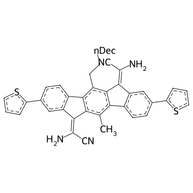 CCCCCCCCCCCCc1c2c(c(C)c3c1-c1ccc(-c4cccs4)cc1/C3=C(\N)C#N)-c1ccc(-c3cccs3)cc1/C2=C(\N)C#N